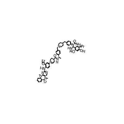 CCOc1cc(N2CCC(C(=O)NC(C)c3ccc(CN4CCC(Cc5ccc(N(C(=N)c6cc(C(C)C)c(O)cc6O)C(N)=O)cc5)CC4)cc3)CC2)ccc1Nc1ncc2c(n1)N(C)c1ccccc1C(=O)N2C